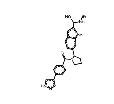 CC(C)NC(O)c1cc2ccc(C3CCCN3C(=O)c3ccc(-c4cn[nH]c4)cc3)cc2[nH]1